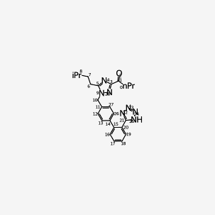 CCCC(=O)c1nc(CCC(C)C)n(Cc2ccc(-c3ccccc3-c3nnn[nH]3)cc2)n1